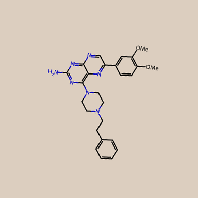 COc1ccc(-c2cnc3nc(N)nc(N4CCN(CCc5ccccc5)CC4)c3n2)cc1OC